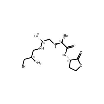 CC[C@H](C)[C@H](NC[C@@H](NC[C@@H](N)CS)[C@@H](C)CC)C(=O)N[C@H]1CCOC1=O